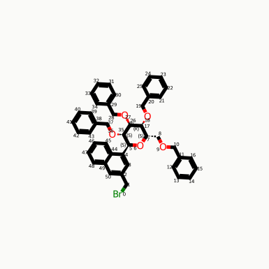 BrCc1cc([C@@H]2O[C@@H](COCc3ccccc3)[C@@H](OCc3ccccc3)[C@H](OCc3ccccc3)[C@H]2OCc2ccccc2)c2ccccc2c1